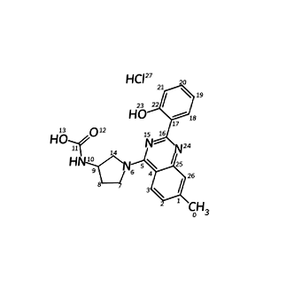 Cc1ccc2c(N3CCC(NC(=O)O)C3)nc(-c3ccccc3O)nc2c1.Cl